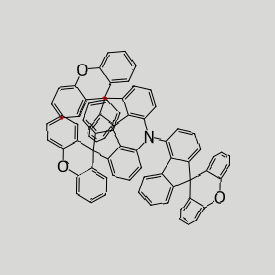 c1ccc2c(c1)Oc1ccccc1C21c2ccccc2-c2c(N(c3cccc4c3-c3ccccc3C43c4ccccc4Oc4ccccc43)c3cccc4c3-c3ccccc3C43c4ccccc4Oc4ccccc43)cccc21